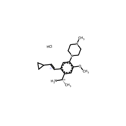 COc1cc([C@H](C)N)c(/C=C/C2CC2)cc1N1CCN(C)CC1.Cl